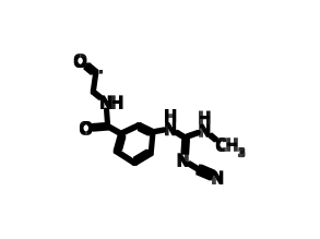 CNC(=NC#N)Nc1cccc(C(=O)NC[C]=O)c1